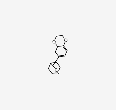 C1=C2OCCOC2CC(C2CN3CCC2CC3)=C1